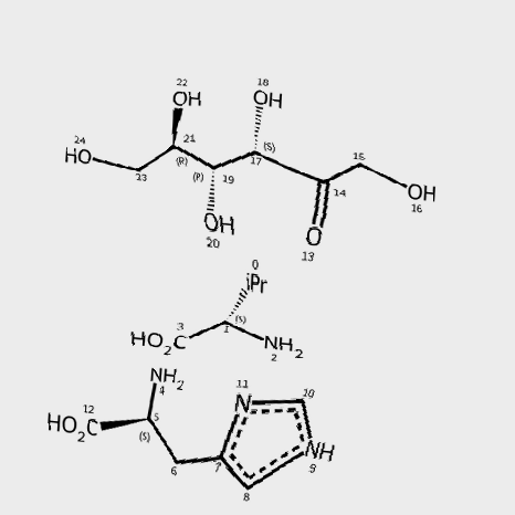 CC(C)[C@H](N)C(=O)O.N[C@@H](Cc1c[nH]cn1)C(=O)O.O=C(CO)[C@@H](O)[C@H](O)[C@H](O)CO